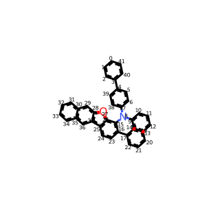 c1ccc(-c2ccc(N(c3ccccc3)c3c(-c4ccccc4)ccc4c3oc3cc5ccccc5cc34)cc2)cc1